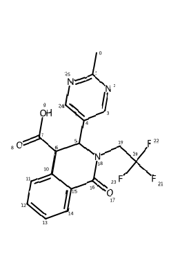 Cc1ncc(C2C(C(=O)O)c3ccccc3C(=O)N2CC(F)(F)F)cn1